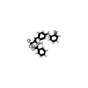 O=C(O)/C(=C/c1ccc(Sc2ccccc2Br)cc1)NC(=O)c1ccccc1